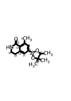 Cc1cc(B2OC(C)C(C)(C)O2)cc2c1C(=O)NCC2